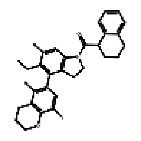 CCc1c(C)cc2c(c1-c1cc(F)c3c(c1C)CCCO3)CCN2C(=O)C1CCCc2ccccc21